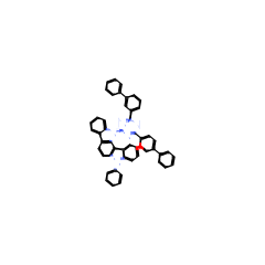 c1ccc(-c2ccc(-c3nc(-c4cccc(-c5ccccc5)c4)nc(-n4c5ccccc5c5ccc6c(c7ccccc7n6-c6ccccc6)c54)n3)cc2)cc1